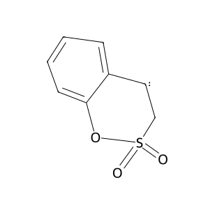 O=S1(=O)C[C]c2ccccc2O1